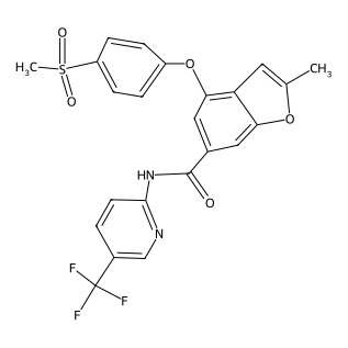 Cc1cc2c(Oc3ccc(S(C)(=O)=O)cc3)cc(C(=O)Nc3ccc(C(F)(F)F)cn3)cc2o1